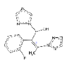 C/C(=C(\c1ccccc1F)C(O)n1cncn1)n1nccn1